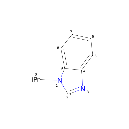 CC(C)n1[c]nc2ccccc21